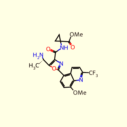 COC(=O)C1(NC(=O)c2nc(-c3ccc(OC)c4nc(C(F)(F)F)ccc34)oc2[C@H](C)N)CC1